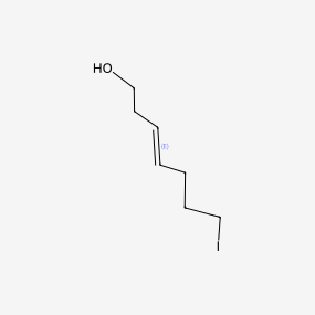 OCC/C=C/CCCI